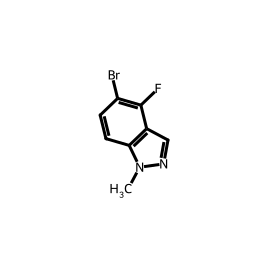 Cn1ncc2c(F)c(Br)ccc21